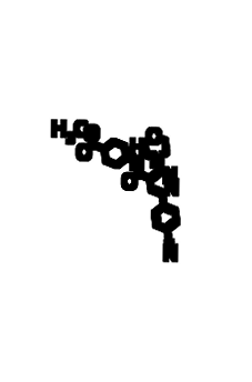 COC(=O)C1CCC(NC(=O)c2cc(-c3ccc(C#N)cc3)nnc2N2CCOCC2)CC1